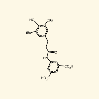 CC(C)(C)c1cc(CCC(=O)Nc2cc(C(=O)O)cc(C(=O)O)c2)cc(C(C)(C)C)c1O